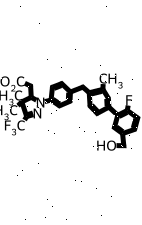 Cc1cc(-c2cc(CO)ccc2F)ccc1Cc1ccc(N2N=C(C(F)(F)F)C(C)(C)C2CC(=O)O)cc1